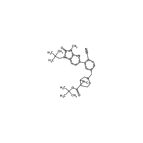 Cn1c(=O)n(CC(C)(C)C)c2ccc(-c3cc(CN4CC5CCC4CN5C(=O)OC(C)(C)C)ccc3C#N)nc21